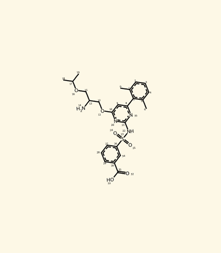 Cc1cccc(C)c1-c1cc(OCC(N)COC(C)C)nc(NS(=O)(=O)c2cccc(C(=O)O)c2)n1